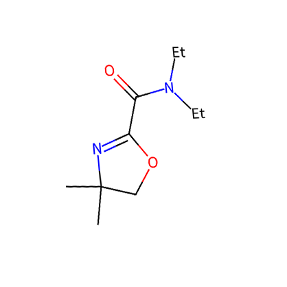 CCN(CC)C(=O)C1=NC(C)(C)CO1